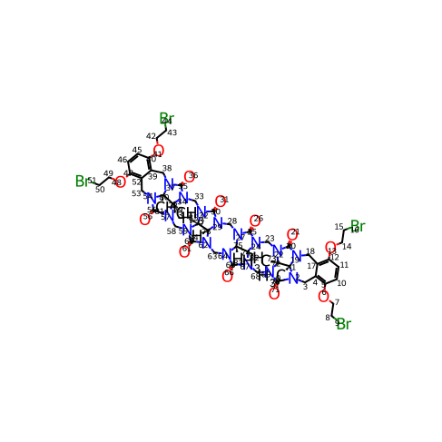 C[C@]12N3Cc4c(OCCBr)ccc(OCCBr)c4CN1C(=O)N1CN4C(=O)N5CN6C(=O)N7CN8C(=O)N9Cc%10c(OCCBr)ccc(OCCBr)c%10CN%10C(=O)N(CN%11C(=O)N(CN%12C(=O)N(CN(C3=O)[C@]12C)[C@@H]4[C@H]%125)[C@@H]6[C@H]%117)[C@]8(C)[C@@]9%10C